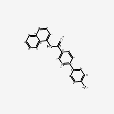 CC(=O)c1ccc(-c2ccc(C(=O)Nc3cccc4ccccc34)cn2)cc1